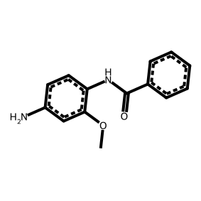 COc1cc(N)ccc1NC(=O)c1ccccc1